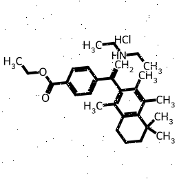 C=C(c1ccc(C(=O)OCC)cc1)c1c(C)c(C)c2c(c1C)CCCC2(C)C.CCNCC.Cl